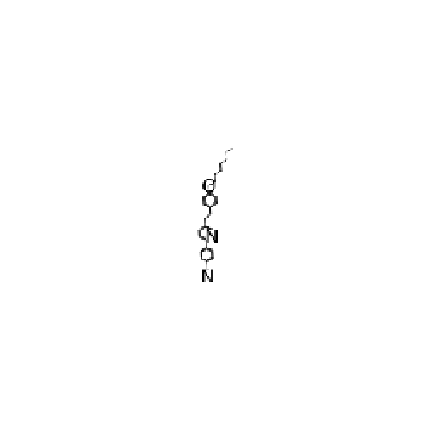 CCCCCCCOc1ccc(CCc2ccc(-c3ccc(C#N)cc3)nc2)cc1